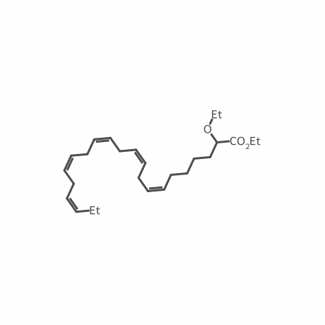 CC/C=C\C/C=C\C/C=C\C/C=C\C/C=C\CCCCC(OCC)C(=O)OCC